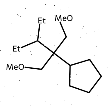 CCC(CC)C(COC)(COC)C1CCCC1